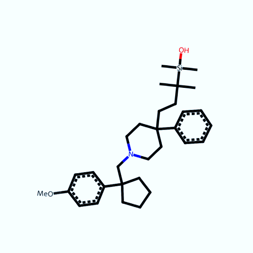 COc1ccc(C2(CN3CCC(CCC(C)(C)[Si](C)(C)O)(c4ccccc4)CC3)CCCC2)cc1